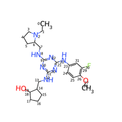 CCN1CCCC1CNc1nc(NCC2CCCC2O)nc(Nc2ccc(OC)c(F)c2)n1